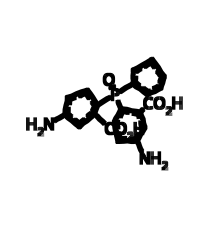 Nc1ccc(P(=O)(c2ccccc2)c2ccc(N)cc2C(=O)O)c(C(=O)O)c1